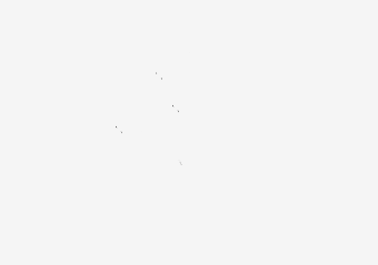 Cc1cccc2c1-c1ccccc1-c1ccccc1-c1nc3cc[n+](C)c(-c4ccc5ccccc5c4C)c3n1-2